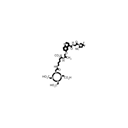 C=C(COc1ccc2nccc(C(=O)NCC(=O)N3CC(F)(F)CC3C#N)c2c1)NC(CCCCNC(=O)CN1CCN(CC(=O)O)CCN(CC(=O)O)CCN(CC(=O)O)CC1)C(=O)O